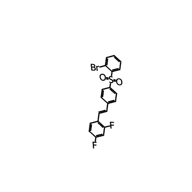 O=S(=O)(c1ccc(C=Cc2ccc(F)cc2F)cc1)c1ccccc1Br